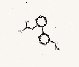 CC(O)Cc1cccnc1-c1cnnc(NN)c1